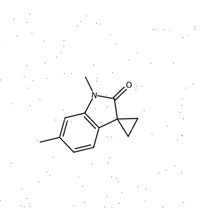 Cc1ccc2c(c1)N(C)C(=O)C21CC1